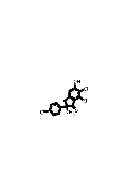 CC1(c2ccc(Cl)cc2)Cc2cc(O)c(Cl)c(Cl)c2C1=O